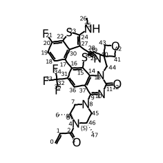 C=CC(=O)N1[C@H](C)CN(c2nc(=O)n3c4c(c(-c5ccc(F)c6sc(NC)c(C#N)c56)c(C(F)(F)F)cc24)SCC2(COC2)C3)C[C@@H]1C